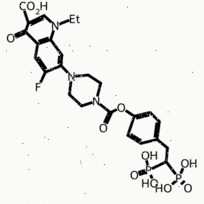 CCn1cc(C(=O)O)c(=O)c2cc(F)c(N3CCN(C(=O)Oc4ccc(CC(P(=O)(O)O)P(=O)(O)O)cc4)CC3)cc21